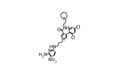 Nc1nc(NCCCn2cc(C(=O)NCCN3CCCCC3)c(-c3ccc(Cl)cc3Cl)c2)ccc1[N+](=O)[O-]